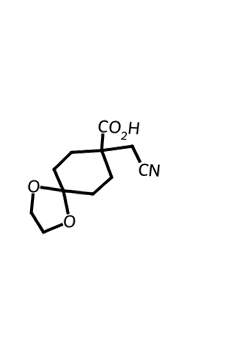 N#CCC1(C(=O)O)CCC2(CC1)OCCO2